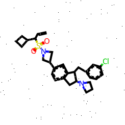 C=CC(C1CCC1)S(=O)(=O)N1CC(c2ccc3c(c2)C(Cc2cccc(Cl)c2)C(N2CCC2)C3)C1